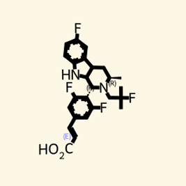 C[C@@H]1CC2c3cc(F)ccc3NC2[C@@H](c2c(F)cc(/C=C/C(=O)O)cc2F)N1CC(C)(C)F